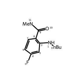 CCCCNc1cc(F)ccc1C(=O)NC